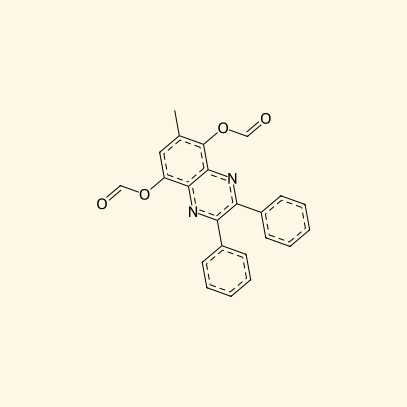 Cc1cc(OC=O)c2nc(-c3ccccc3)c(-c3ccccc3)nc2c1OC=O